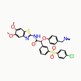 C=NCc1ccc(OC(C(=O)Nc2nc3cc(OC)c(OC)cc3s2)c2cccc(S(=O)(=O)c3ccc(Cl)cc3)c2)cc1